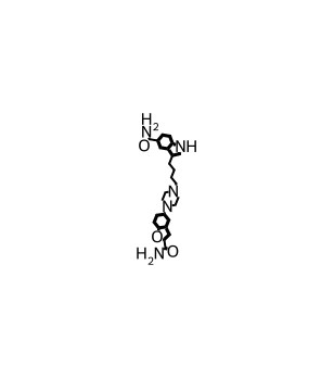 NC(=O)c1ccc2[nH]cc(CCCCN3CCN(c4ccc5oc(C(N)=O)cc5c4)CC3)c2c1